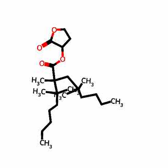 CCCCCC(C)(C)C(C)(CC(C)(C)CCCC)C(=O)OC1CCOC1=O